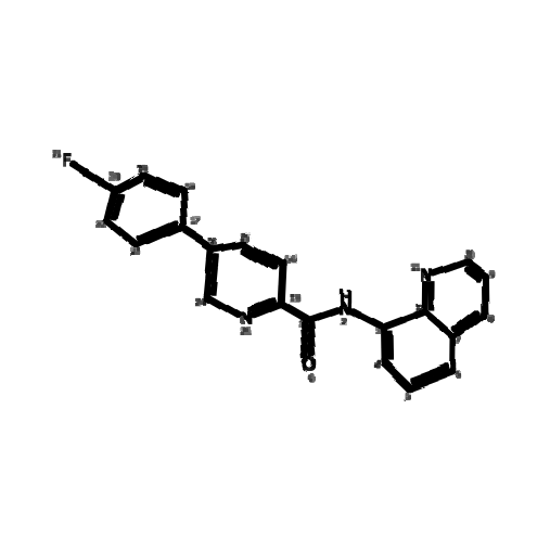 O=C(Nc1cccc2cccnc12)c1ccc(-c2ccc(F)cc2)cn1